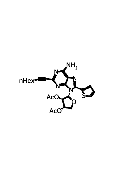 CCCCCCC#Cc1nc(N)c2nc(-c3cccs3)n([C@@H]3OC[C@@H](OC(C)=O)[C@H]3OC(C)=O)c2n1